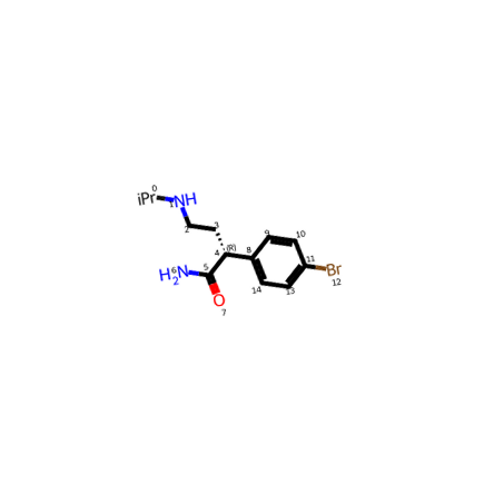 CC(C)NCC[C@@H](C(N)=O)c1ccc(Br)cc1